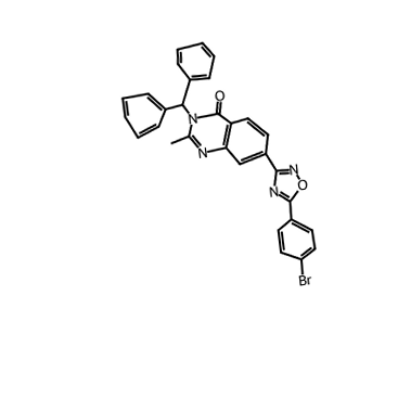 Cc1nc2cc(-c3noc(-c4ccc(Br)cc4)n3)ccc2c(=O)n1C(c1ccccc1)c1ccccc1